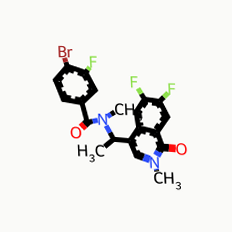 CC(c1cn(C)c(=O)c2cc(F)c(F)cc12)N(C)C(=O)c1ccc(Br)c(F)c1